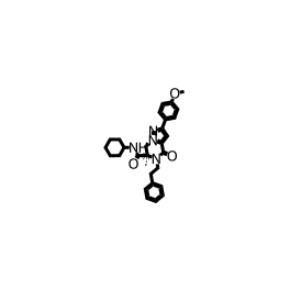 COc1ccc(-c2cc3n(n2)C[C@](C)(C(=O)NC2CCCCC2)N(CCc2ccccc2)C3=O)cc1